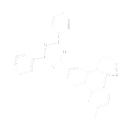 Cc1ccc2c3ccccc3c3cc(C4=NC(c5ccccc5)N(C)C(c5ccccc5)=N4)ccc3c2c1